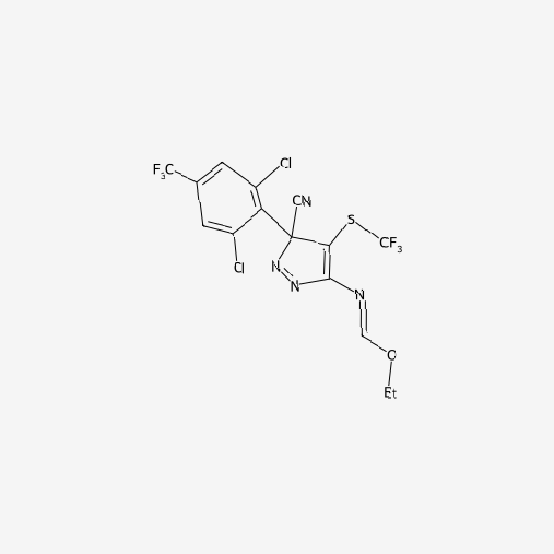 CCOC=NC1=C(SC(F)(F)F)C(C#N)(c2c(Cl)cc(C(F)(F)F)cc2Cl)N=N1